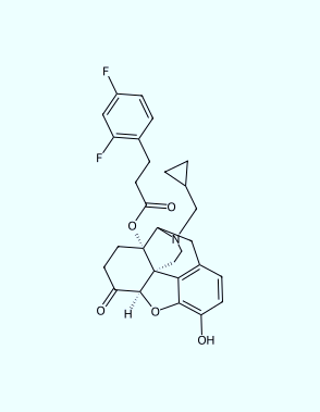 O=C(CCc1ccc(F)cc1F)O[C@@]12CCC(=O)[C@@H]3Oc4c(O)ccc5c4[C@@]31CCN(CC1CC1)C2C5